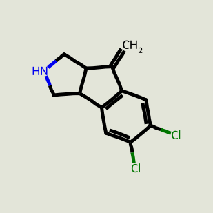 C=C1c2cc(Cl)c(Cl)cc2C2CNCC12